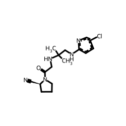 CC(C)(CNc1ccc(Cl)cn1)NCC(=O)N1CCC[C@H]1C#N